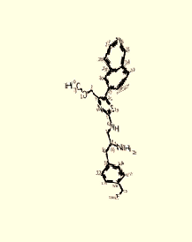 COCc1nc(NC[C@@H](N)Cc2ccc(CF)cc2)sc1-c1ccc2cnccc2c1